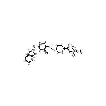 CS(=O)(=O)CC(=O)N1CCC(COc2coc(Cn3cc4ccccc4c3)cc2=O)CC1